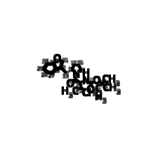 CC(C)[C@H](NC(=O)OC(C)(C)C)C(=O)N1CCC[C@H]1Cc1coc2ccccc12